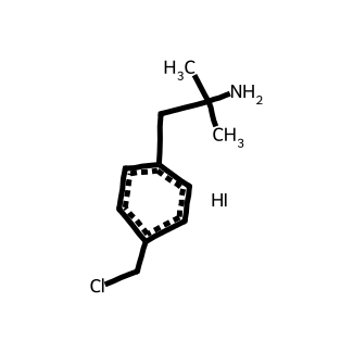 CC(C)(N)Cc1ccc(CCl)cc1.I